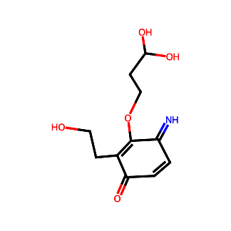 N=C1C=CC(=O)C(CCO)=C1OCCC(O)O